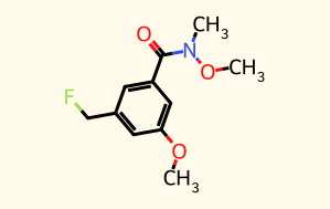 COc1cc(CF)cc(C(=O)N(C)OC)c1